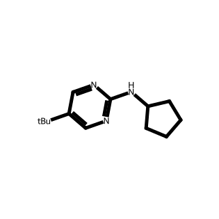 CC(C)(C)c1cnc(NC2CCCC2)nc1